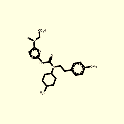 COc1ccc(CCN(C(=O)Nc2ncc([S+]([O-])CC(=O)O)s2)C2CCC(C)CC2)cc1